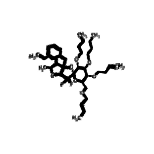 C=C/C=C\C1=C(C)OC2C1(Cc1ccccc1)O[C@]1(O[C@H](COCCCC)[C@@H](OCCCC)[C@H](OCCCC)[C@H]1OCCCC)C2(F)F